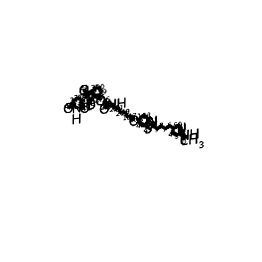 CNc1ccc(/C=C/C=C/c2nc3ccc(OCCCCCCNC(=O)COc4cccc5c4C(=O)N(C4CCC(=O)NC4=O)C5=O)cc3s2)cn1